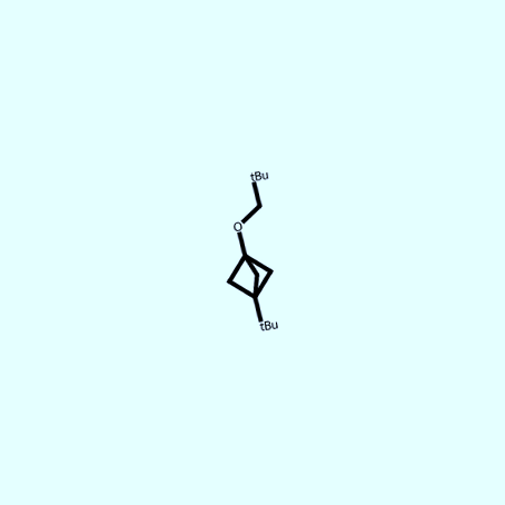 CC(C)(C)COC12CC(C(C)(C)C)(C1)C2